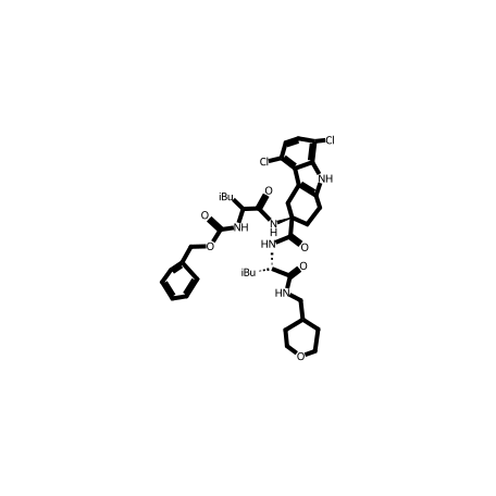 CCC(C)C(NC(=O)OCc1ccccc1)C(=O)N[C@]1(C(=O)N[C@H](C(=O)NCC2CCOCC2)[C@@H](C)CC)CCc2[nH]c3c(Cl)ccc(Cl)c3c2C1